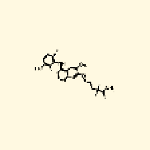 COc1cc2c(Nc3c(F)ccc(O)c3C)ncnc2cc1OCCCC(C)(C)C(N)=O